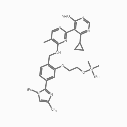 COc1ncnc(C2CC2)c1-c1ncc(C)c(NCc2ccc(-c3nc(C(F)(F)F)cn3C(C)C)cc2OCCO[Si](C)(C)C(C)(C)C)n1